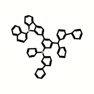 c1ccc(-c2cccc(C(c3ccccc3)c3cc(-c4ccc5c6ccccc6n(-c6cccc7ccccc67)c5c4)cc(N(c4ccccc4)c4cccc(-c5ccccc5)c4)c3)c2)cc1